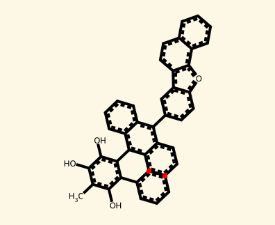 Cc1c(O)c(O)c(-c2c3ccccc3c(-c3ccc4oc5c6ccccc6ccc5c4c3)c3ccccc23)c(-c2ccccc2)c1O